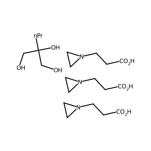 CCCC(O)(CO)CO.O=C(O)CCN1CC1.O=C(O)CCN1CC1.O=C(O)CCN1CC1